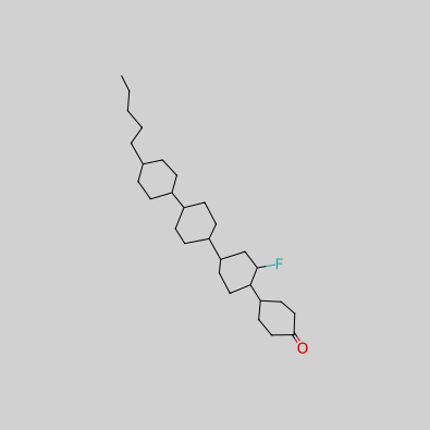 CCCCCC1CCC(C2CCC(C3CCC(C4CCC(=O)CC4)C(F)C3)CC2)CC1